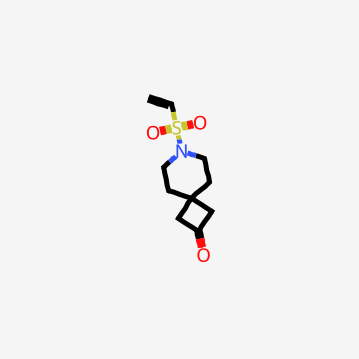 C=CS(=O)(=O)N1CCC2(CC1)CC(=O)C2